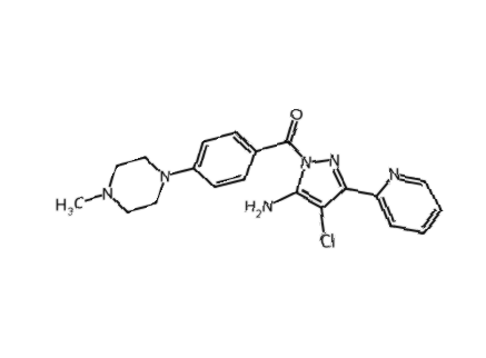 CN1CCN(c2ccc(C(=O)n3nc(-c4ccccn4)c(Cl)c3N)cc2)CC1